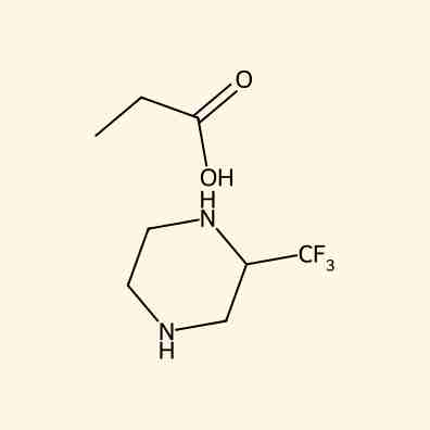 CCC(=O)O.FC(F)(F)C1CNCCN1